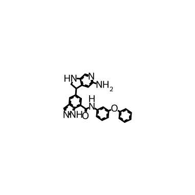 Nc1cc2c(cn1)NCC2c1cc(C(=O)Nc2cccc(Oc3ccccc3)c2)c2[nH]ncc2c1